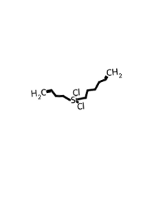 C=CCCCC[Si](Cl)(Cl)CCCC=C